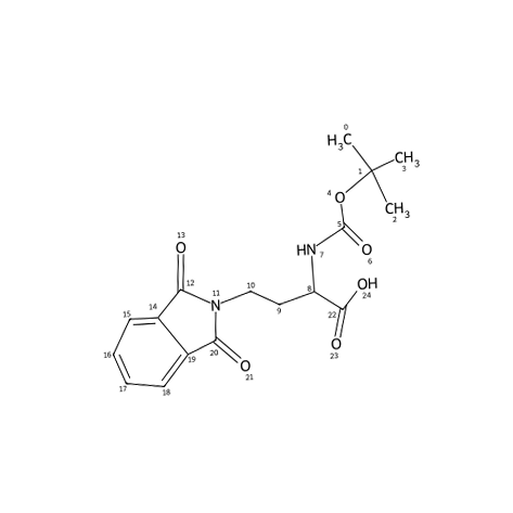 CC(C)(C)OC(=O)NC(CCN1C(=O)c2ccccc2C1=O)C(=O)O